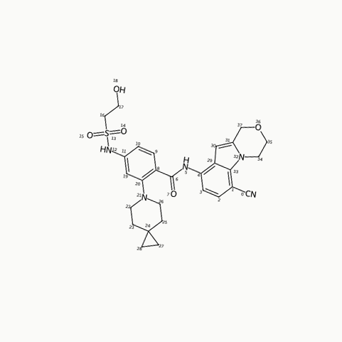 N#Cc1ccc(NC(=O)c2ccc(NS(=O)(=O)CCO)cc2N2CCC3(CC2)CC3)c2cc3n(c12)CCOC3